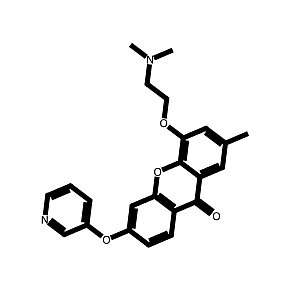 Cc1cc(OCCN(C)C)c2oc3cc(Oc4cccnc4)ccc3c(=O)c2c1